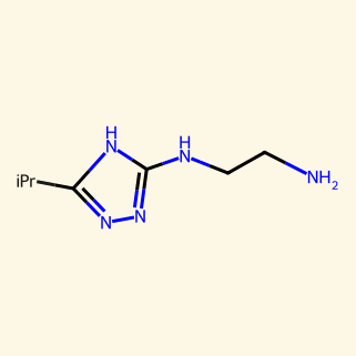 CC(C)c1nnc(NCCN)[nH]1